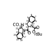 CC(C)(C)OC(=O)N1c2ccccc2C[C@@H]1C(=O)N1c2ccccc2C[C@H]1C(=O)O